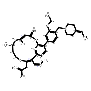 C=C(C)C/C1=C(\C=N/C)c2ncc(-c3ccc(CN4CCC(=CC)CC4)c(OCC(F)(F)F)c3)c(n2)NC(=N)/C=C(\CC)O[C@@H](C)CCO1